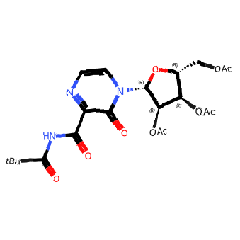 CC(=O)OC[C@H]1O[C@@H](n2ccnc(C(=O)NC(=O)C(C)(C)C)c2=O)[C@H](OC(C)=O)[C@@H]1OC(C)=O